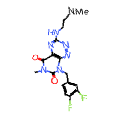 CNCCNc1nnc2c(n1)c(=O)n(C)c(=O)n2Cc1ccc(F)c(F)c1